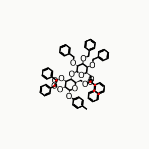 Cc1ccc(O[C@H]2O[C@H](COC(=O)c3ccccc3)[C@@H](O[C@@H]3O[C@H](COCc4ccccc4)[C@H](OCc4ccccc4)[C@H](OCc4ccccc4)[C@H]3OCc3ccccc3)[C@H](OC(=O)c3ccccc3)[C@H]2OC(=O)c2ccccc2)cc1